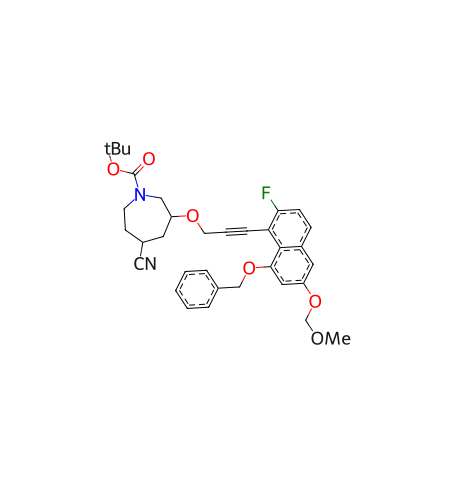 COCOc1cc(OCc2ccccc2)c2c(C#CCOC3CC(C#N)CCN(C(=O)OC(C)(C)C)C3)c(F)ccc2c1